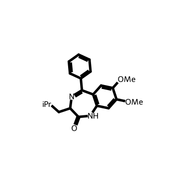 COc1cc2c(cc1OC)C(c1ccccc1)=NC(CC(C)C)C(=O)N2